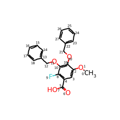 COc1cc(C(=O)O)c(F)c(OCc2ccccc2)c1OCc1ccccc1